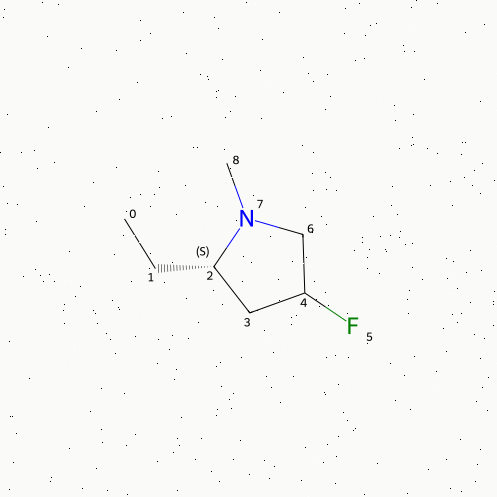 CC[C@H]1CC(F)CN1C